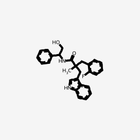 CC([CH]c1ccccc1F)(Cc1c[nH]c2ccccc12)C(=O)NC(CO)c1ccccc1